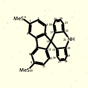 CSc1ccc2c(c1)-c1cc(SC)ccc1C21c2ccccc2Nc2ccccc21